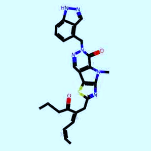 C/C=C\C=C(\Cc1nc2c(s1)c1cnn(Cc3cccc4[nH]ncc34)c(=O)c1n2C)C(=O)CCC